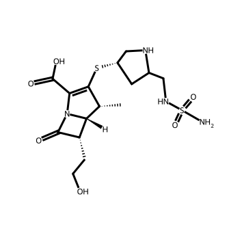 C[C@H]1C(S[C@@H]2CNC(CNS(N)(=O)=O)C2)=C(C(=O)O)N2C(=O)[C@@H](CCO)[C@@H]12